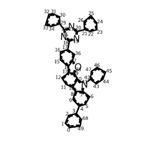 c1ccc(-c2ccc3c(c2)c2ccc4c5ccc(-c6nc(-c7ccccc7)nc(-c7ccccc7)n6)cc5oc4c2n3-c2ccccc2)cc1